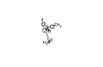 Cc1ccc(S(=O)(=O)N2C(CCCCC(N)=O)CCC2c2ccc(F)cc2)cc1